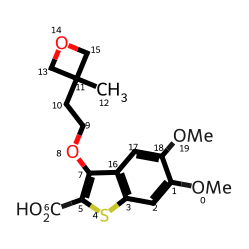 COc1cc2sc(C(=O)O)c(OCCC3(C)COC3)c2cc1OC